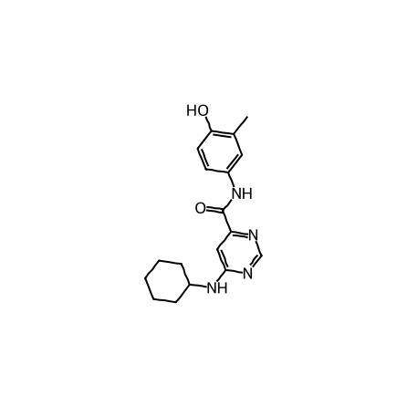 Cc1cc(NC(=O)c2cc(NC3CCCCC3)ncn2)ccc1O